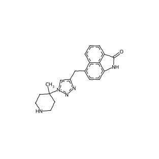 CC1(n2cc(Cc3ccc4c5c(cccc35)C(=O)N4)nn2)CCNCC1